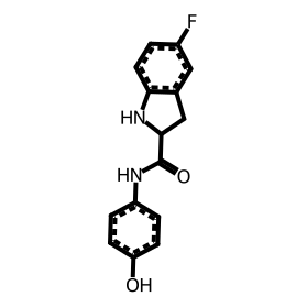 O=C(Nc1ccc(O)cc1)C1Cc2cc(F)ccc2N1